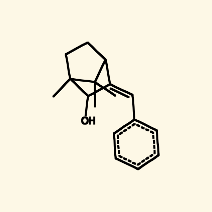 CC1(C)C2CCC1(C)C(O)/C2=C\c1ccccc1